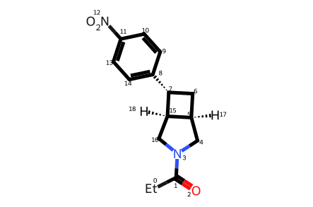 CCC(=O)N1C[C@@H]2C[C@@H](c3ccc([N+](=O)[O-])cc3)[C@@H]2C1